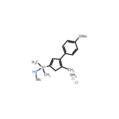 COc1ccc(C2=C(C)C[C]([Ti+2]([CH3])([CH3])[NH]C(C)(C)C)=C2)cc1.[Cl-].[Cl-].[SiH4]